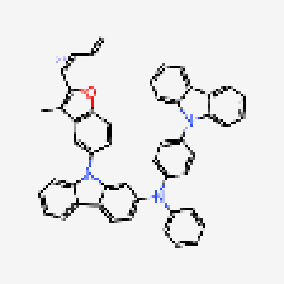 C=C/C=C\c1oc2ccc(-n3c4ccccc4c4ccc(N(c5ccccc5)c5ccc(-n6c7ccccc7c7ccccc76)cc5)cc43)cc2c1C